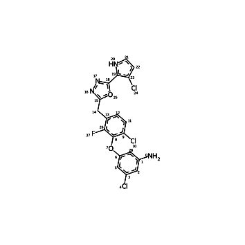 Nc1cc(Cl)cc(Oc2c(Cl)ccc(Cc3nnc(-c4[nH]ccc4Cl)o3)c2F)c1